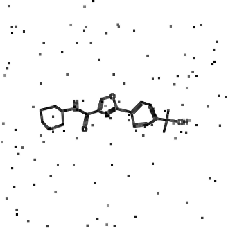 CC(C)(O)c1ccc(-c2nc(C(=O)NC3CCCCC3)co2)cc1